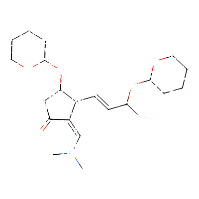 CCCCCC(C=CC1C(=CN(C)C)C(=O)CC1OC1CCCCO1)OC1CCCCO1